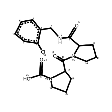 O=C(NCc1ccccc1Cl)C1CCCN1C(=O)C1CCCN1C(=O)O